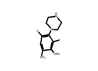 COc1c([N+](=O)[O-])cc(F)c(N2CCNCC2)c1F